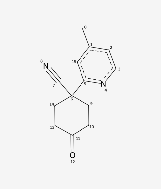 Cc1ccnc(C2(C#N)CCC(=O)CC2)c1